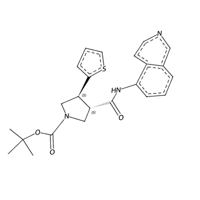 CC(C)(C)OC(=O)N1C[C@@H](C(=O)Nc2cccc3cnccc23)[C@H](c2cccs2)C1